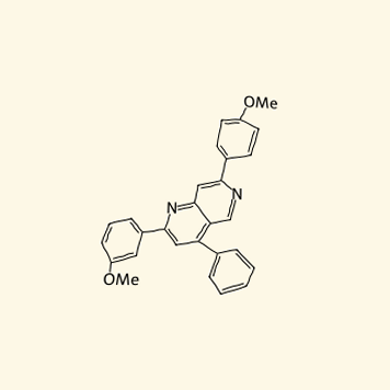 COc1ccc(-c2cc3nc(-c4cccc(OC)c4)cc(-c4ccccc4)c3cn2)cc1